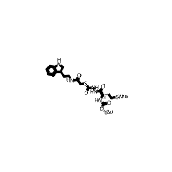 CSCC[C@H](NC(=O)OC(C)(C)C)C(=O)NNC(=O)SCC(=O)NCCC1CNc2ccccc21